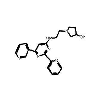 OC1CCN(CCNc2cc(-c3cccnc3)nc(-c3ccccn3)n2)C1